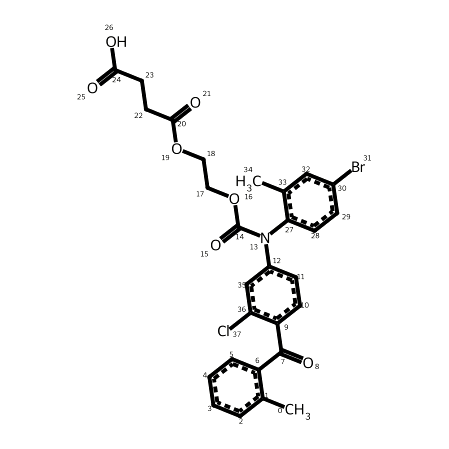 Cc1ccccc1C(=O)c1ccc(N(C(=O)OCCOC(=O)CCC(=O)O)c2ccc(Br)cc2C)cc1Cl